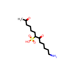 CC(=O)CCCCC(C(=O)CCCCCN)S(=O)(=O)O